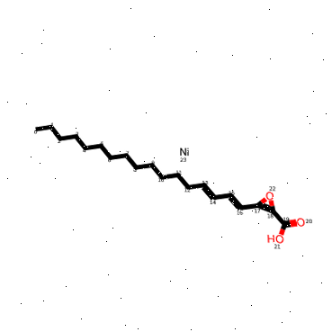 CCCCCCCCCCCCCC=CC=CC1=C(C(=O)O)O1.[Ni]